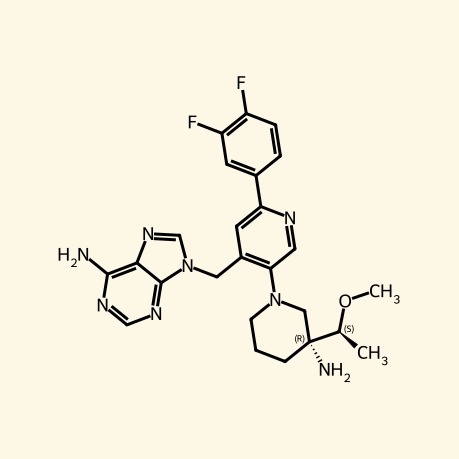 CO[C@@H](C)[C@@]1(N)CCCN(c2cnc(-c3ccc(F)c(F)c3)cc2Cn2cnc3c(N)ncnc32)C1